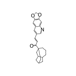 O=C(/C=C/c1cnc2cc3c(cc2c1)OCO3)C12CCCC3CC(CC3C1)C2